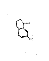 CC1=CCN2CCCC(=O)C2=C1